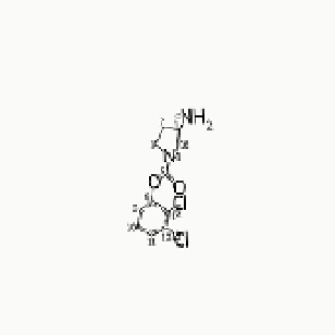 N[C@@H]1CCN(C(=O)Oc2cccc(Cl)c2Cl)C1